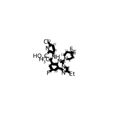 CCc1cn2c(N3CCC(F)(F)CC3)nc3c(C(C)Nc4ccc(Cl)nc4C(=O)O)cc(F)cc3c2n1